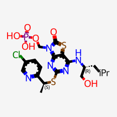 CC(C)C[C@H](CO)Nc1nc(S[C@@H](C)c2ccc(Cl)cn2)nc2c1sc(=O)n2COP(=O)(O)O